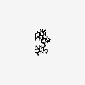 COC1=NC(C(C)C)C(OC)=NC1Cc1ccc(-c2nc(C)nc(C)c2C(F)(F)F)c2nccn12